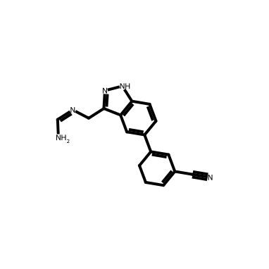 N#CC1=CCCC(c2ccc3[nH]nc(C/N=C\N)c3c2)=C1